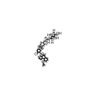 O=C(NCC1CCN(S(=O)(=O)c2ccc(Cl)c(COC3(c4cnccc4-c4ccccc4OC4CC4)CC3)c2)CC1)NC[C@H](O)[C@@H](O)[C@H](O)[C@H](O)CO